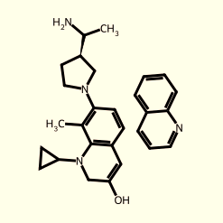 Cc1c(N2CC[C@@H](C(C)N)C2)ccc2c1N(C1CC1)CC(O)=C2.c1ccc2ncccc2c1